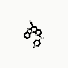 CN1CCC(Nc2ccc3cc(C#N)c4nc5ccccc5n4c3n2)CC1